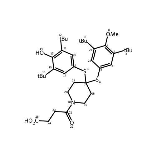 COc1c(C(C)(C)C)cc(SC2(Sc3cc(C(C)(C)C)c(O)c(C(C)(C)C)c3)CCN(C(=O)CCC(=O)O)CC2)cc1C(C)(C)C